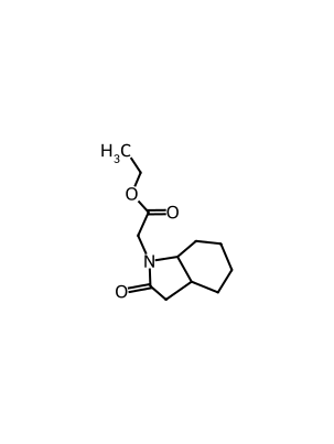 CCOC(=O)CN1C(=O)CC2CCCCC21